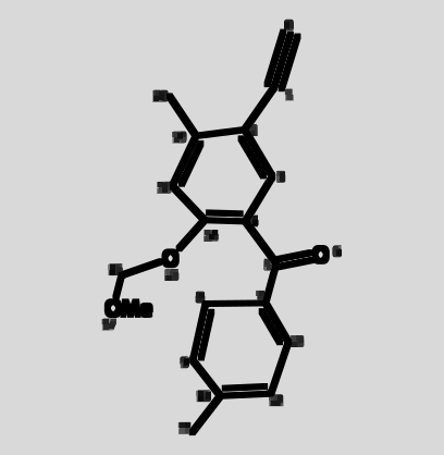 C#Cc1cc(C(=O)c2ccc(C)cc2)c(OCOC)cc1C